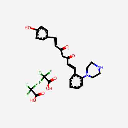 O=C(/C=C/c1ccc(O)cc1)CC(=O)/C=C/c1ccccc1N1CCNCC1.O=C(O)C(F)(F)F.O=C(O)C(F)(F)F